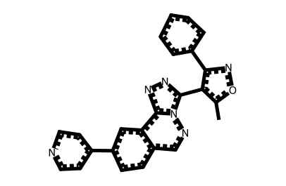 Cc1onc(-c2ccccc2)c1-c1nnc2c3cc(-c4ccncc4)ccc3cnn12